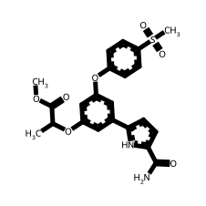 COC(=O)C(C)Oc1cc(Oc2ccc(S(C)(=O)=O)cc2)cc(-c2ccc(C(N)=O)[nH]2)c1